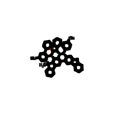 CC(C)(C)c1ccc(N2B3c4c(cc5c(c4N(c4ccc(C(C)(C)C)cc4-c4ccccc4)c4oc6ccccc6c43)C(C)(C)c3ccccc3-5)-c3cc4c(cc32)oc2ccccc24)cc1